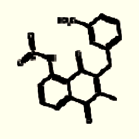 CC1=C(Cc2cccc(C(=O)O)c2)C(=O)c2c(N[SH](=O)=O)cccc2C1=O